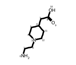 NCCN1CCC(CC(=O)O)CC1